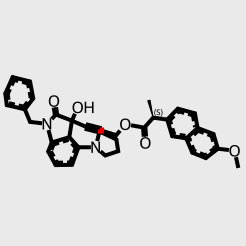 COc1ccc2cc([C@H](C)C(=O)OCC#CC3(O)C(=O)N(Cc4ccccc4)c4cccc(N5CCCC5)c43)ccc2c1